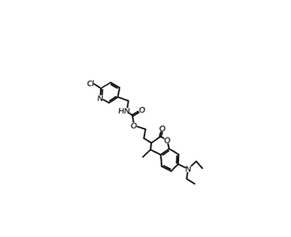 CCN(CC)c1ccc2c(c1)OC(=O)C(CCOC(=O)NCc1ccc(Cl)nc1)C2C